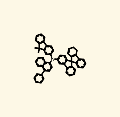 CC1(C)c2ccccc2-c2ccc(N(c3ccc4c(c3)-c3ccccc3C43C4=C(CCC=C4)c4ccccc43)c3ccc(-c4ccccc4)c4ccccc34)cc21